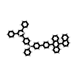 c1ccc(-c2cc(-c3ccccc3)nc(-c3ccc(N(c4ccccc4)c4ccc(-c5ccc(-c6c7ccccc7c(-c7cccc8ccccc78)c7ccccc67)cc5)cc4)cc3)n2)cc1